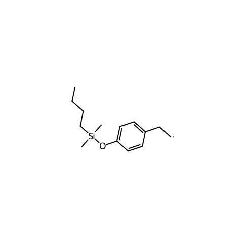 [CH2]Cc1ccc(O[Si](C)(C)CCCC)cc1